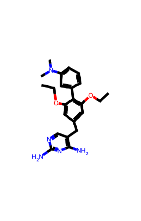 CCOc1cc(Cc2cnc(N)nc2N)cc(OCC)c1-c1cccc(N(C)C)c1